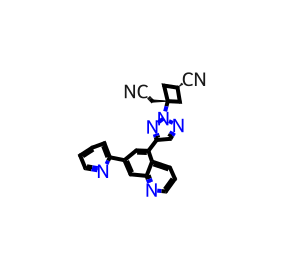 N#CC[C@]1(n2ncc(-c3cc(-c4ccccn4)cc4ncccc34)n2)C[C@@H](C#N)C1